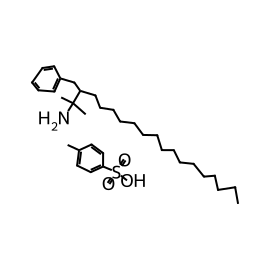 CCCCCCCCCCCCCCCCC(Cc1ccccc1)C(C)(C)N.Cc1ccc(S(=O)(=O)O)cc1